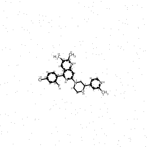 Cc1cc(C2CN(c3cc4nc(C)c(C)cc4c(-c4ccc(Cl)cc4F)n3)CCO2)ccn1